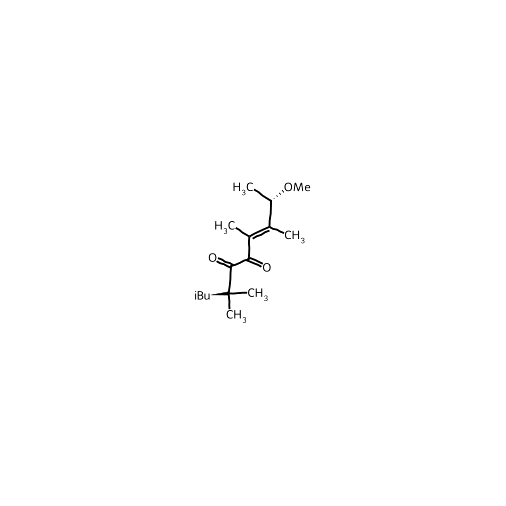 CC[C@H](C)C(C)(C)C(=O)C(=O)/C(C)=C(\C)[C@H](C)OC